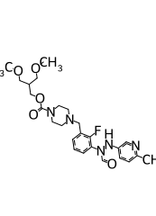 COCC(COC)COC(=O)N1CCN(Cc2cccc(N(C=O)Nc3ccc(C)nc3)c2F)CC1